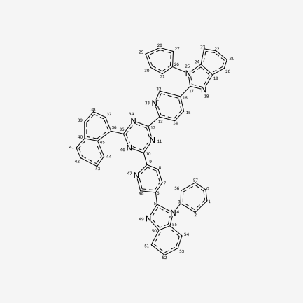 c1ccc(-n2c(-c3ccc(-c4nc(-c5ccc(-c6nc7ccccc7n6-c6ccccc6)cn5)nc(-c5cccc6ccccc56)n4)nc3)nc3ccccc32)cc1